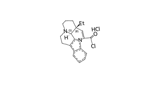 CC[C@]12C=C(C(=O)Cl)n3c4c(c5ccccc53)CCN(CCC1)[C@H]42.Cl